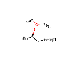 C=COC=C.CCCCCCCCC(=O)CCCC